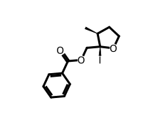 C[C@H]1CCO[C@]1(I)COC(=O)c1ccccc1